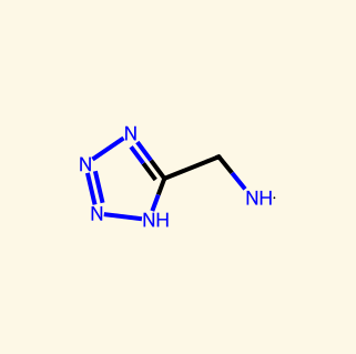 [NH]Cc1nnn[nH]1